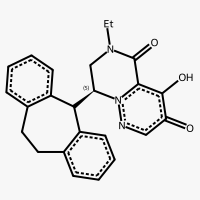 CCN1C[C@H](C2c3ccccc3CCc3ccccc32)n2ncc(=O)c(O)c2C1=O